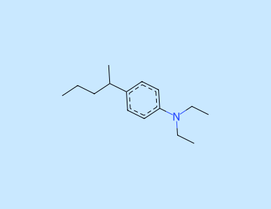 CCCC(C)c1ccc(N(CC)CC)cc1